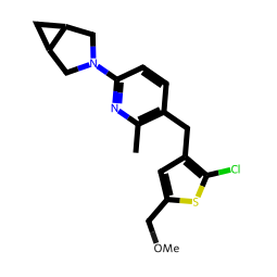 COCc1cc(Cc2ccc(N3CC4CC4C3)nc2C)c(Cl)s1